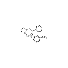 CN1CCCC1CC(Oc1cccc(C(F)(F)F)c1)c1ccccc1